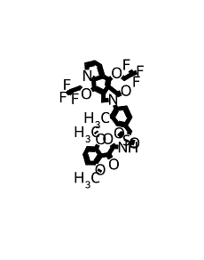 COc1cccc(OC)c1C(=O)C(=O)NS(=O)(=O)Cc1ccc(N2Cc3c(c(OCC(F)(F)F)c4cccnc4c3OCC(F)(F)F)C2=O)c(C)c1